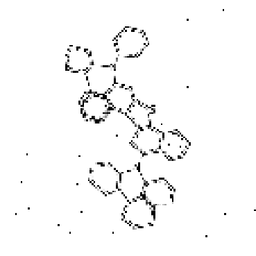 c1ccc(-c2ccccc2N(c2ccccc2)c2cc3c(sc4cc(N(c5ccccc5)c5ccccc5-c5ccccc5)c5ccccc5c43)c3ccccc23)cc1